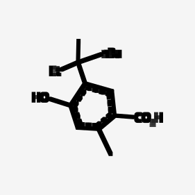 CCCCC(C)(CC)c1cc(C(=O)O)c(C)cc1O